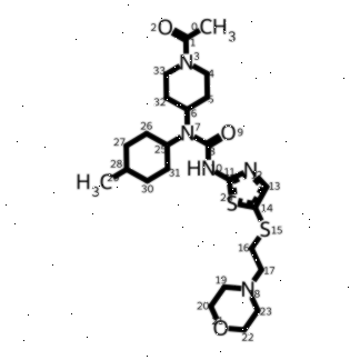 CC(=O)N1CCC(N(C(=O)Nc2ncc(SCCN3CCOCC3)s2)C2CCC(C)CC2)CC1